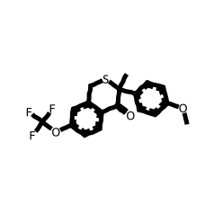 COc1ccc(C2(C)SCc3cc(OC(F)(F)F)ccc3C2=O)cc1